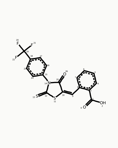 O=C(O)c1ccccc1/C=C1/SC(=S)N(c2ccc(C(F)(F)F)cc2)C1=O